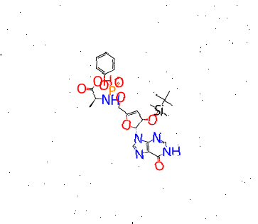 C[C@H](N[P@](=O)(OCC1=C[C@@H](O[Si](C)(C)C(C)(C)C)[C@H](n2cnc3c(=O)[nH]cnc32)O1)Oc1ccccc1)C(=O)O